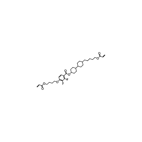 C=CC(=O)OCCCCCC1CCC(C2CCC(OC(=O)c3ccc(OCCCCOC(=O)C=C)c(F)c3F)CC2)CC1